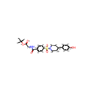 CC(C)(C)OC(=O)CNC(=O)c1ccc(S(=O)(=O)N2CCC(c3ccc(O)cc3)CC2)cc1